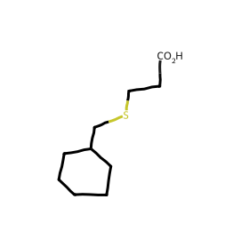 O=C(O)CCSCC1CCCCC1